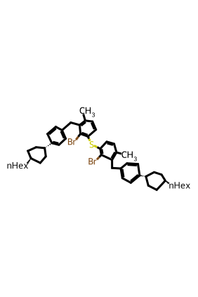 CCCCCC[C@H]1CC[C@H](c2ccc(Cc3c(C)ccc(Sc4ccc(C)c(Cc5ccc([C@H]6CC[C@H](CCCCCC)CC6)cc5)c4Br)c3Br)cc2)CC1